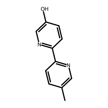 Cc1ccc(-c2ccc(O)cn2)nc1